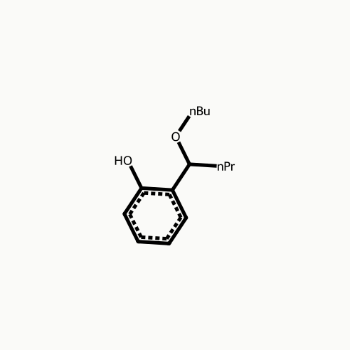 CCCCOC(CCC)c1ccccc1O